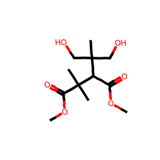 COC(=O)C(C(C)(CO)CO)C(C)(C)C(=O)OC